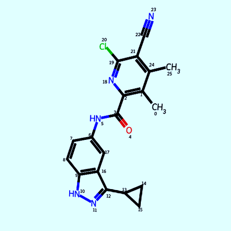 Cc1c(C(=O)Nc2ccc3[nH]nc(C4CC4)c3c2)nc(Cl)c(C#N)c1C